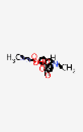 C=CCN1[C@@H]2Cc3ccc(OC(=O)/C=C/C=C/C)c4c3[C@@]35CC1(CC(=O)[C@@H]3O4)[C@@]25O